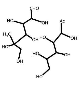 CC(=O)C(O)C(O)C(O)C(O)CO.CC(O)(CO)C(O)C(O)C(O)C=O